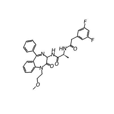 COCCN1C(=O)C(NC(=O)[C@H](C)NC(=O)Cc2cc(F)cc(F)c2)N=C(c2ccccc2)c2ccccc21